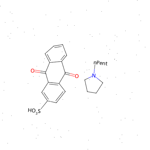 CCCCCN1CCCC1.O=C1c2ccccc2C(=O)c2cc(S(=O)(=O)O)ccc21